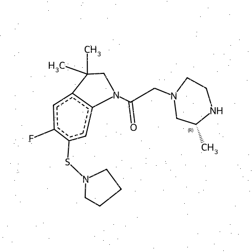 C[C@@H]1CN(CC(=O)N2CC(C)(C)c3cc(F)c(SN4CCCC4)cc32)CCN1